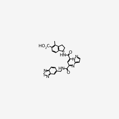 Cc1c(C(=O)O)ccc2c1CC[C@@H]2NC(=O)c1cc(C(=O)NCc2ccc3nsnc3c2)nc2ccnn12